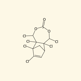 O=S1OC(Cl)C2(Cl)C3C=C(Cl)C(Cl)(C3)C2(Cl)C(Cl)O1